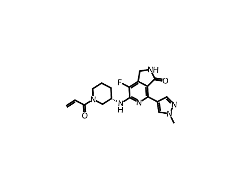 C=CC(=O)N1CCC[C@H](Nc2nc(-c3cnn(C)c3)c3c(c2F)CNC3=O)C1